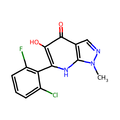 Cn1ncc2c(=O)c(O)c(-c3c(F)cccc3Cl)[nH]c21